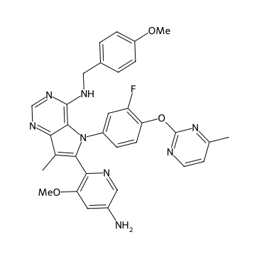 COc1ccc(CNc2ncnc3c(C)c(-c4ncc(N)cc4OC)n(-c4ccc(Oc5nccc(C)n5)c(F)c4)c23)cc1